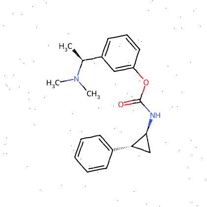 C[C@@H](c1cccc(OC(=O)N[C@H]2C[C@@H]2c2ccccc2)c1)N(C)C